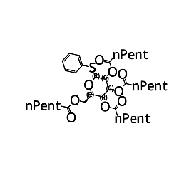 CCCCCC(=O)OC[C@H]1O[C@H](Sc2ccccc2)[C@@H](OC(=O)CCCCC)[C@@H](OC(=O)CCCCC)[C@@H]1OC(=O)CCCCC